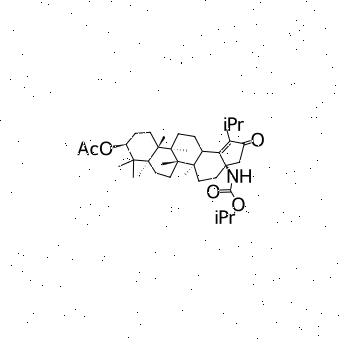 CC(=O)O[C@H]1CC[C@]2(C)[C@@]3(C)CCC4C5=C(C(C)C)C(=O)C[C@]5(NC(=O)OC(C)C)CC[C@@]4(C)[C@]3(C)CC[C@@]2(C)C1(C)C